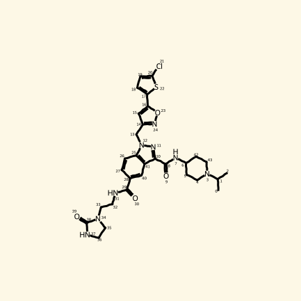 CC(C)N1CCC(NC(=O)c2nn(Cc3cc(-c4ccc(Cl)s4)on3)c3ccc(C(=O)NCCN4CCNC4=O)cc23)CC1